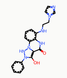 O=C1Nc2c(NCCn3ccnc3)cccc2N2NN(c3ccccc3)C(O)=C12